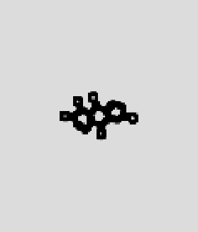 O=C1C=c2c(=O)c3ccc(=O)c(=O)c=3c(=O)c2=CC1